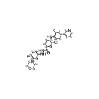 Cc1cc(-c2cccnc2)cc(Cl)c1Nc1ccc(C(=O)NNc2ncc(F)c(N3CCOCC3)n2)nc1